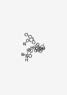 CC(C)C[C@H]1C(=O)N2CCC[C@H]2[C@]2(O)O[C@](NC(=O)[C@@H]3C=C4c5cccc6[nH]c(Br)c(c56)C[C@H]4N(C)C3)(C(C)C)C(=O)N12.CN(C)CCOC1=Cc2ccccc2Sc2ccc(Cl)cc21